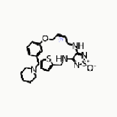 [O-][s+]1nc(NC/C=C\COc2cccc(CN3CCCCC3)c2)c(NCc2cccs2)n1